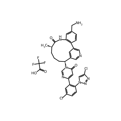 C[C@@H]1CCC[C@H](n2cnc(-c3cc(Cl)ccc3-n3cc(Cl)nn3)cc2=O)c2cncc(c2)-c2ccc(CN)cc2NC1=O.O=C(O)C(F)(F)F